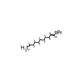 C=CCCCCCCCC=CCCC